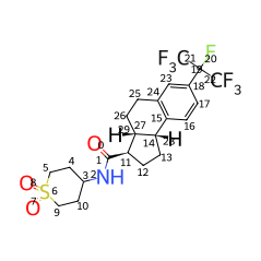 O=C(NC1CCS(=O)(=O)CC1)[C@@H]1CC[C@H]2c3ccc(C(F)(C(F)(F)F)C(F)(F)F)cc3CC[C@@H]12